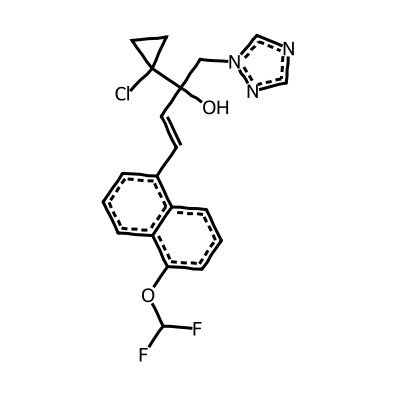 OC(C=Cc1cccc2c(OC(F)F)cccc12)(Cn1cncn1)C1(Cl)CC1